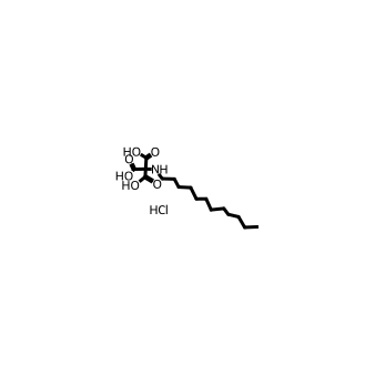 CCCCCCCCCCCCNC(C(=O)O)(C(=O)O)C(=O)O.Cl